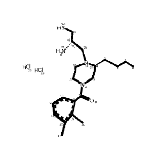 CCCC[C@H]1CN(C(=O)c2cccc(C)c2C)CCN1C[C@H](N)CS.Cl.Cl